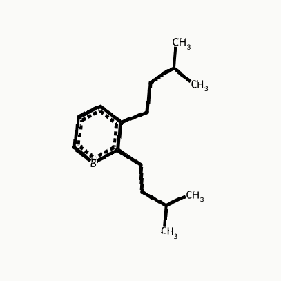 CC(C)CCc1bcccc1CCC(C)C